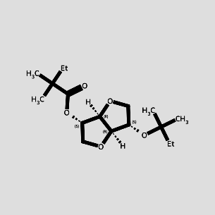 CCC(C)(C)O[C@H]1CO[C@H]2[C@@H]1OC[C@@H]2OC(=O)C(C)(C)CC